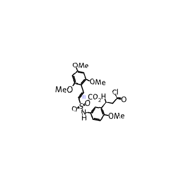 COc1cc(OC)c(/C=C/S(=O)(=O)Nc2ccc(OC)c(C(CC(=O)Cl)C(=O)O)c2)c(OC)c1